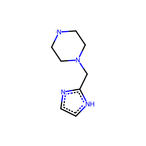 c1c[nH]c(CN2CC[N]CC2)n1